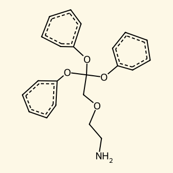 NCCOCC(Oc1ccccc1)(Oc1ccccc1)Oc1ccccc1